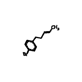 CC=CCCc1ccc(Br)cc1